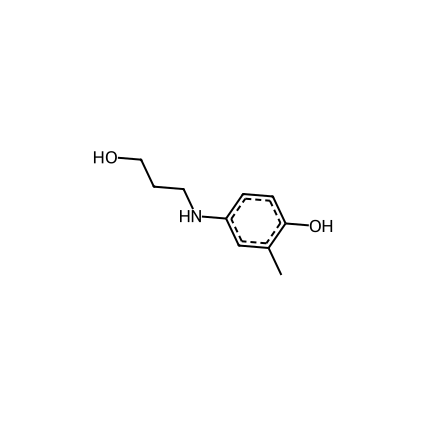 Cc1cc(NCCCO)ccc1O